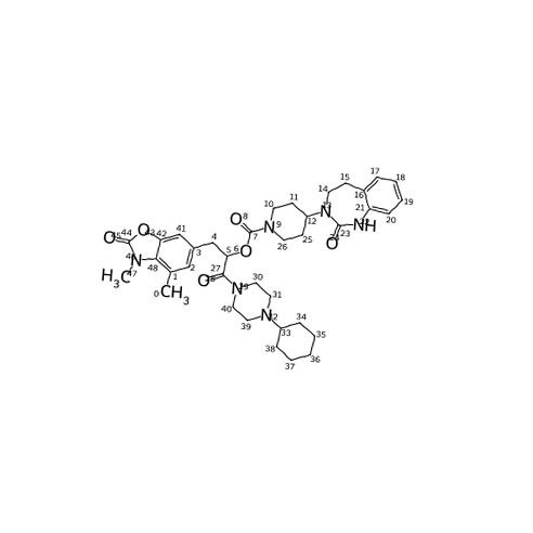 Cc1cc(CC(OC(=O)N2CCC(N3CCc4ccccc4NC3=O)CC2)C(=O)N2CCN(C3CCCCC3)CC2)cc2oc(=O)n(C)c12